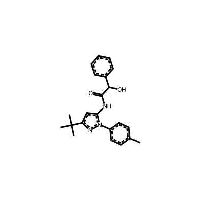 Cc1ccc(-n2nc(C(C)(C)C)cc2NC(=O)C(O)c2ccccc2)cc1